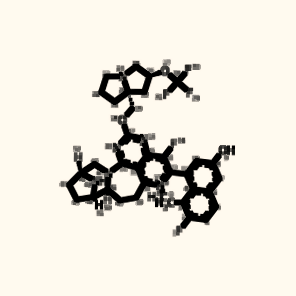 Cc1c(F)ccc2cc(O)cc(-c3c(F)c4nc(OC[C@]56CCCN5C[C@@H](OC(F)(F)F)C6)nc5c4c([n+]3C)CC[C@@H]3[C@@H]4CC[C@H](CN53)N4)c12